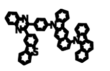 c1cc(-n2c3ccccc3c3ccc4ccccc4c32)c2cc3c4ccccc4n(-c4ccc(-c5nc6ccccc6nc5-c5ccc6sc7ccccc7c6c5)cc4)c3cc2c1